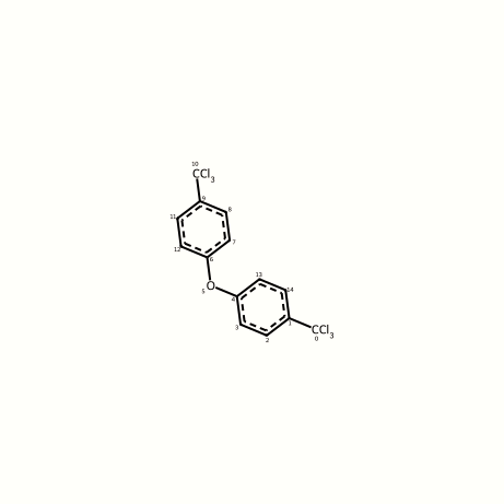 ClC(Cl)(Cl)c1ccc(Oc2ccc(C(Cl)(Cl)Cl)cc2)cc1